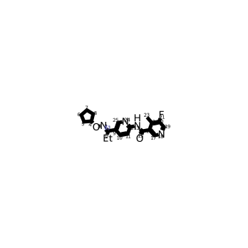 CC/C(=N\OC1CCCC1)c1ccc(NC(=O)c2cncc(F)c2C)nc1